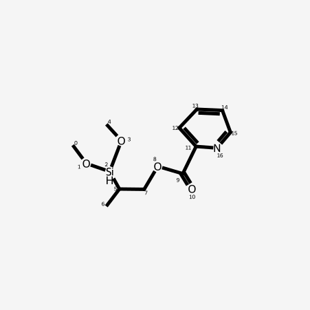 CO[SiH](OC)C(C)COC(=O)c1ccccn1